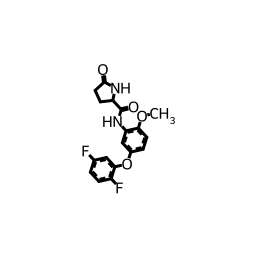 COc1ccc(Oc2cc(F)ccc2F)cc1NC(=O)C1CCC(=O)N1